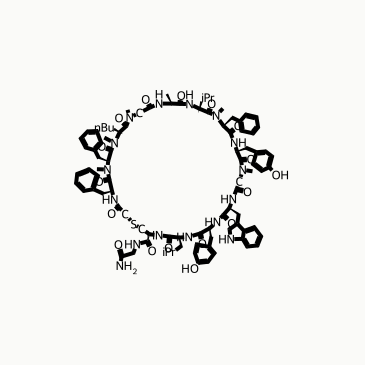 CCCC[C@H]1C(=O)N(C)CC(=O)N[C@@H](C)C(=O)N[C@@H](C(C)C)C(=O)N(C)[C@@H](Cc2ccccc2)C(=O)N[C@@H](Cc2ccc(O)cc2)C(=O)N(C)CC(=O)N[C@@H](CC2CNc3ccccc32)C(=O)N[C@@H](Cc2ccc(O)cc2)C(=O)N[C@@H](CC(C)C)C(=O)N[C@H](C(=O)NCC(N)=O)CSCC(=O)N[C@@H](Cc2ccccc2)C(=O)N(C)[C@@H](Cc2ccccc2)C(=O)N1C